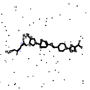 C=C/C(F)=C\C=C(\F)C[C@H]1CN(c2ncc(OCC3CCN(c4nc(C(F)F)no4)CC3)cn2)C[C@@H]1N